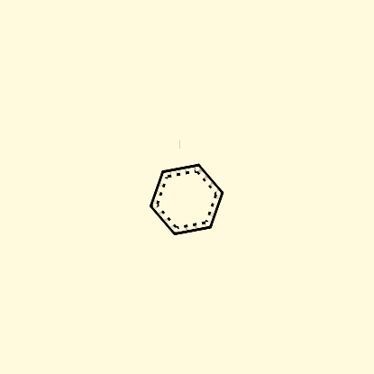 [Hg].c1ccccc1